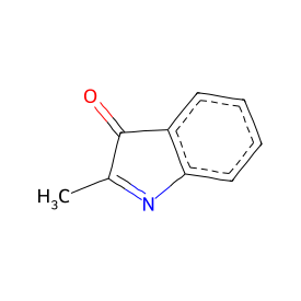 CC1=Nc2ccccc2C1=O